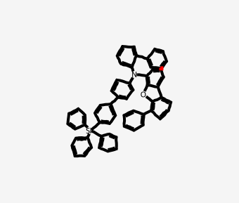 c1ccc(-c2ccccc2N(c2ccc(-c3ccc([Si](c4ccccc4)(c4ccccc4)c4ccccc4)cc3)cc2)c2cccc3c2oc2c(-c4ccccc4)cccc23)cc1